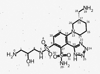 NCC(O)CNS(=O)(=O)c1ccc(N2CCC[C@@H](CN)C2)c(-c2nnn[nH]2)c1S(N)(=O)=O